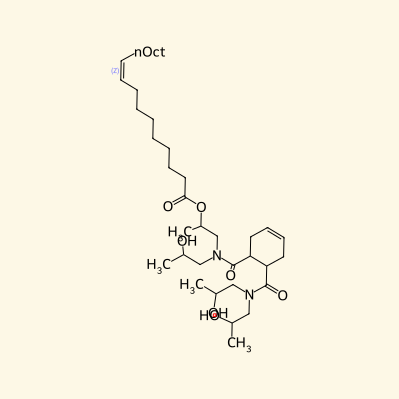 CCCCCCCC/C=C\CCCCCCCC(=O)OC(C)CN(CC(C)O)C(=O)C1CC=CCC1C(=O)N(CC(C)O)CC(C)O